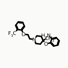 CC1(Oc2ccccc2N)CCN(CCOc2ccccc2C(F)(F)F)CC1